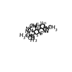 Cc1nnc2n1-c1c(cc(F)c(-c3cccc4c3cnn4C)c1C(F)F)NC2(C)C